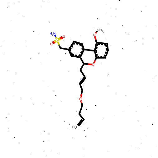 C=CCCOC/C=C/CC1Oc2cccc(OC)c2-c2ccc(CS(N)(=O)=O)cc21